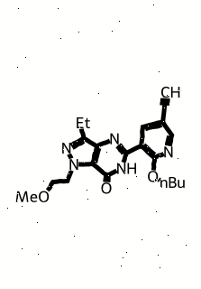 C#Cc1cnc(OCCCC)c(-c2nc3c(CC)nn(CCOC)c3c(=O)[nH]2)c1